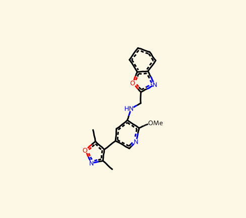 COc1ncc(-c2c(C)noc2C)cc1NCc1nc2ccccc2o1